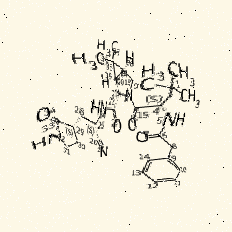 CC(C)(C)[C@H](NC(=O)Cc1ccccc1)C(=O)N1C[C@H]2[C@@H]([C@H]1C(=O)N[C@H](C#N)C[C@@H]1CCNC1=O)C2(C)C